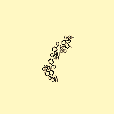 Cc1cc(S(=O)(=O)O)c2c(NC(=O)c3cccc(NC(=O)Nc4cccc(C(=O)Nc5ccc(S(=O)(=O)O)c6cccc(S(=O)(=O)O)c56)c4)c3)ccc(S(=O)(=O)O)c2c1